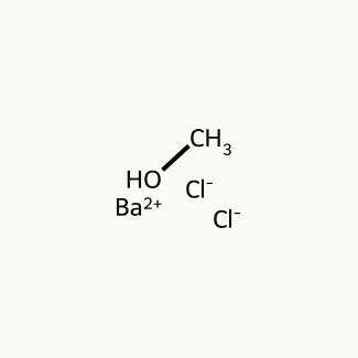 CO.[Ba+2].[Cl-].[Cl-]